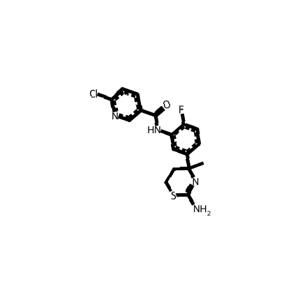 CC1(c2ccc(F)c(NC(=O)c3ccc(Cl)nc3)c2)CCSC(N)=N1